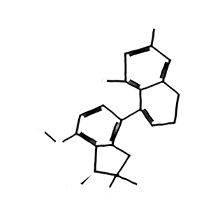 CC(=O)O[C@H]1c2c(SC(F)(F)F)ccc(C3=CCCc4cc(F)cc(F)c43)c2CC1(F)F